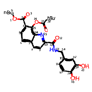 CCCCOC(=O)c1ccc2ccc(C(=O)NCc3ccc(O)c(O)c3)nc2c1OC(=O)C(C)(C)C